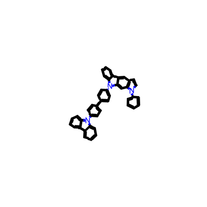 c1ccc(-n2ccc3cc4c5ccccc5n(-c5ccc(-c6ccc(-n7c8ccccc8c8ccccc87)cc6)cc5)c4cc32)cc1